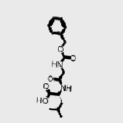 CC(C)C[C@@H](NC(=O)CNC(=O)OCc1ccccc1)C(=O)O